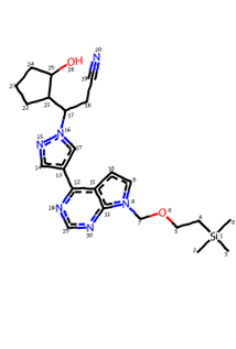 C[Si](C)(C)CCOCn1ccc2c(-c3cnn(C(CC#N)C4CCCC4O)c3)ncnc21